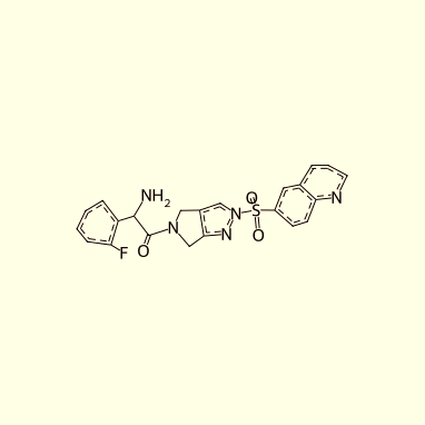 NC(C(=O)N1Cc2cn(S(=O)(=O)c3ccc4ncccc4c3)nc2C1)c1ccccc1F